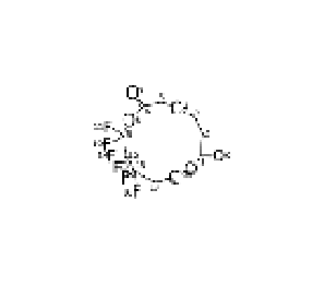 O=C1CCCCC(=O)OC(F)(F)C(F)(F)C(F)(F)CCO1